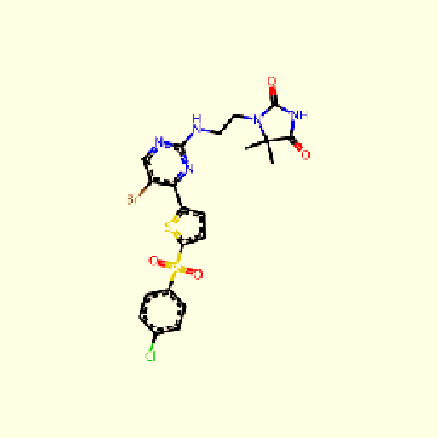 CC1(C)C(=O)NC(=O)N1CCNc1ncc(Br)c(-c2ccc(S(=O)(=O)c3ccc(Cl)cc3)s2)n1